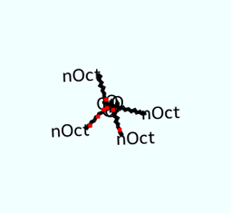 CCCCCCCCC=CCCCCCCCC(=O)N(C(=O)CCCCCCCC=CCCCCCCCC)C(=O)N(C(=O)CCCCCCCC=CCCCCCCCC)C(=O)CCCCCCCC=CCCCCCCCC